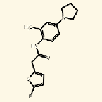 Cc1cc(N2CCCC2)ccc1NC(=O)Cc1ccc(F)s1